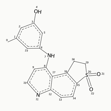 Cc1cc(O)cc(Nc2ccnc3ccc4c(c23)CCS4(=O)=O)c1